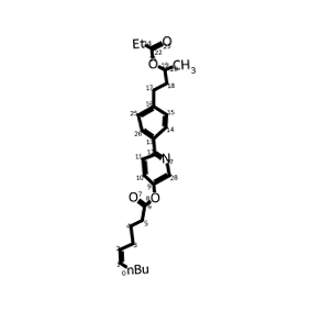 CCCC/C=C\CCCC(=O)Oc1ccc(-c2ccc(CCC(C)OC(=O)CC)cc2)nc1